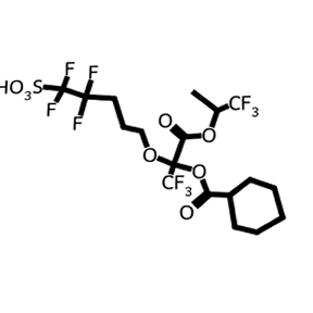 CC(OC(=O)C(OCCCC(F)(F)C(F)(F)S(=O)(=O)O)(OC(=O)C1CCCCC1)C(F)(F)F)C(F)(F)F